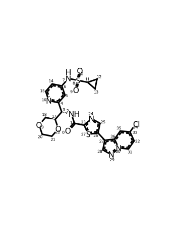 O=C(N[C@@H](c1cc(NS(=O)(=O)C2CC2)ccn1)[C@@H]1COCCO1)c1ncc(-c2cnn3ccc(Cl)cc23)s1